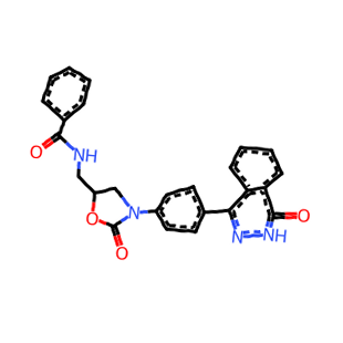 O=C(NCC1CN(c2ccc(-c3n[nH]c(=O)c4ccccc34)cc2)C(=O)O1)c1ccccc1